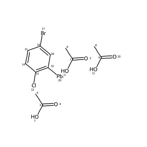 CC(=O)O.CC(=O)O.CC(=O)O.Clc1ccc(Br)c[c]1[Pb]